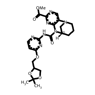 COC(=O)c1ncc2c(n1)N(C(=O)Nc1nccc(OCC3COC(C)(C)O3)n1)[C@H]1CCCN2C1